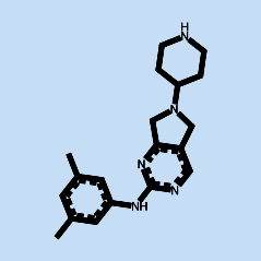 Cc1cc(C)cc(Nc2ncc3c(n2)CN(C2CCNCC2)C3)c1